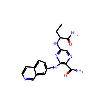 CCC(Nc1cnc(C(N)=O)c(Nc2ccc3ccncc3c2)n1)C(N)=O